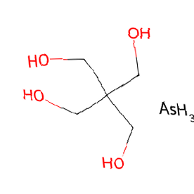 OCC(CO)(CO)CO.[AsH3]